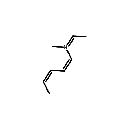 C\C=C/C=C\[N+](C)=C/C